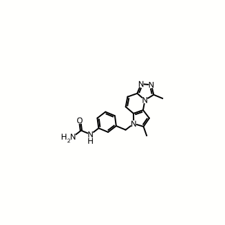 Cc1cc2c(ccc3nnc(C)n32)n1Cc1cccc(NC(N)=O)c1